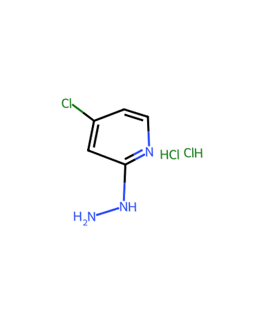 Cl.Cl.NNc1cc(Cl)ccn1